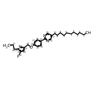 CCCCCCCCCCCc1cnc(-c2ccc(OCc3cc(F)c(CCC)s3)cc2)nc1